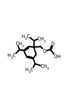 CC(C)C1=CC(COC(=O)O)(C(C)C)CC(C(C)C)=C1